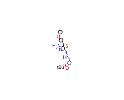 CC(C)(C)OC(=O)N1CCC(CNC/C=C/c2cnc(N)c3c(-c4ccc(Oc5ccccc5)cc4)csc23)C1